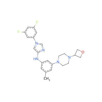 Cc1cc(Nc2cn(-c3cc(F)cc(F)c3)cn2)cc(N2CCN(C3COC3)CC2)c1